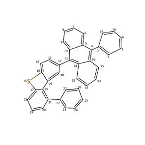 c1ccc(-c2c3ccccc3c(-c3ccc4sc5cccc(-c6ccccc6)c5c4c3)c3ccccc23)cc1